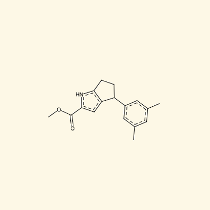 COC(=O)c1cc2c([nH]1)CCC2c1cc(C)cc(C)c1